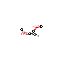 CCC(c1ccc(OCC(O)COc2ccccc2)cc1)c1ccc(OCC(O)COc2ccccc2)cc1